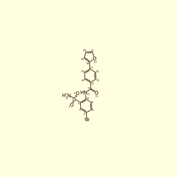 NS(=O)(=O)c1cc(Br)ccc1NC(=O)c1ccc(-c2ccco2)cc1